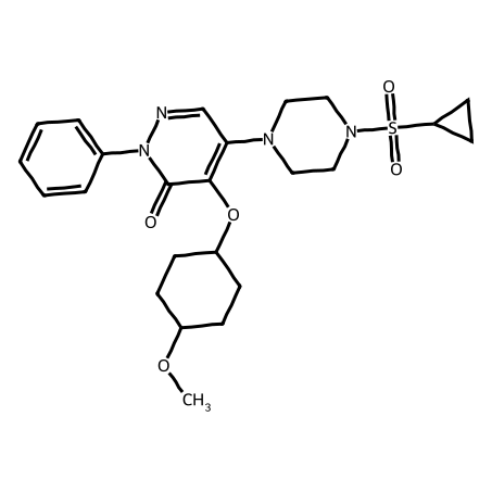 COC1CCC(Oc2c(N3CCN(S(=O)(=O)C4CC4)CC3)cnn(-c3ccccc3)c2=O)CC1